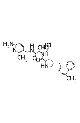 Cc1nc(N)ccc1CNC(=O)[C@H](C)NC(=O)[C@H]1C[C@H](Cc2ccc(C)c3ccccc23)CN1.Cl.Cl